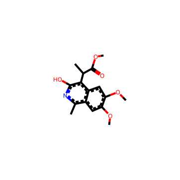 COC(=O)C(C)c1c(O)nc(C)c2cc(OC)c(OC)cc12